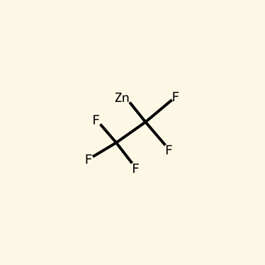 FC(F)(F)[C](F)(F)[Zn]